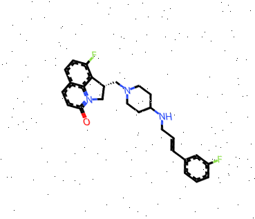 O=c1ccc2ccc(F)c3c2n1C[C@H]3CN1CCC(NC/C=C/c2cccc(F)c2)CC1